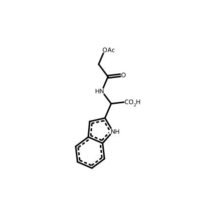 CC(=O)OCC(=O)NC(C(=O)O)c1cc2ccccc2[nH]1